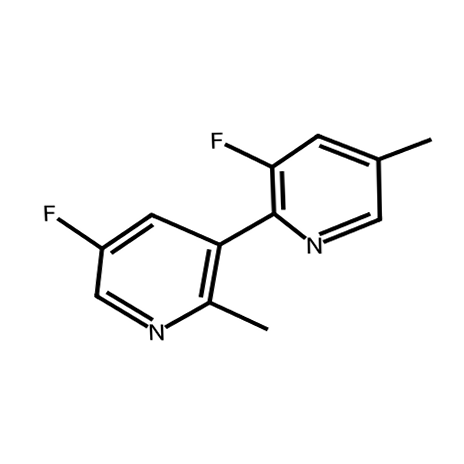 Cc1cnc(-c2cc(F)cnc2C)c(F)c1